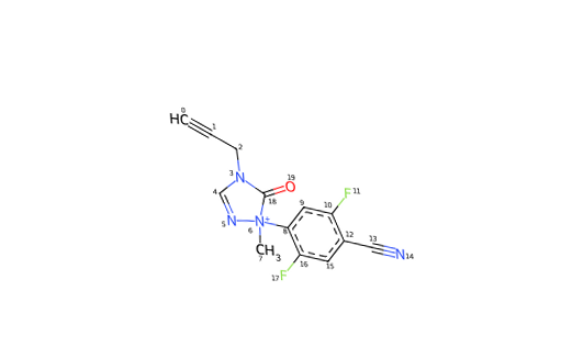 C#CCN1C=N[N+](C)(c2cc(F)c(C#N)cc2F)C1=O